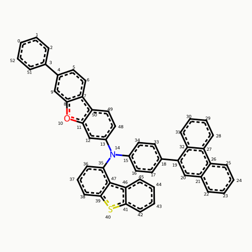 c1ccc(-c2ccc3c(c2)oc2cc(N(c4ccc(-c5cc6ccccc6c6ccccc56)cc4)c4cccc5sc6ccccc6c45)ccc23)cc1